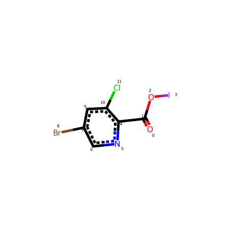 O=C(OI)c1ncc(Br)cc1Cl